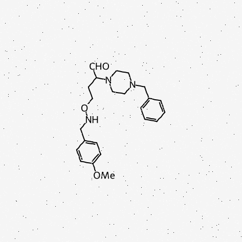 COc1ccc(CNOCCC(C=O)N2CCN(Cc3ccccc3)CC2)cc1